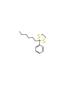 CCCCCCC1(c2ccccc2)SCCS1